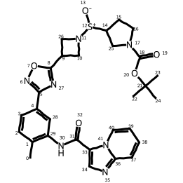 Cc1ccc(-c2noc(C3CN([S+]([O-])C4CCN(C(=O)OC(C)(C)C)C4)C3)n2)cc1NC(=O)c1cnc2ccccn12